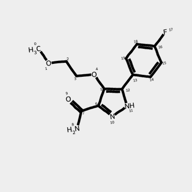 COCCOc1c(C(N)=O)n[nH]c1-c1ccc(F)cc1